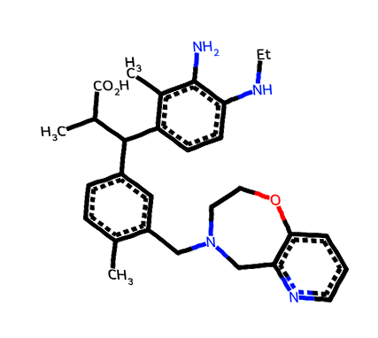 CCNc1ccc(C(c2ccc(C)c(CN3CCOc4cccnc4C3)c2)C(C)C(=O)O)c(C)c1N